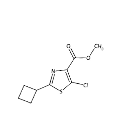 COC(=O)c1nc(C2CCC2)sc1Cl